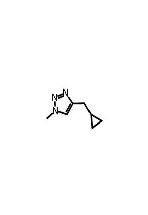 Cn1cc(CC2CC2)nn1